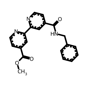 COC(=O)c1ccnc(-c2cc(C(=O)NCc3ccccc3)ccn2)c1